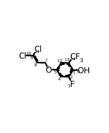 Oc1c(F)cc(OCC=C(Cl)Cl)cc1C(F)(F)F